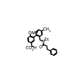 CCN(Cc1cc(C)ccc1-c1cc(CC(=O)O)ccc1OC)C(=O)CCc1ccccc1